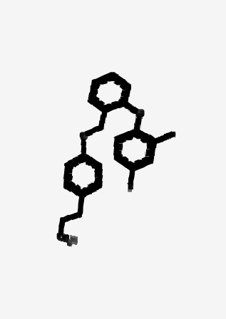 Cc1cc(F)ccc1Oc1ccccc1COc1ccc(CCC(=O)O)cc1